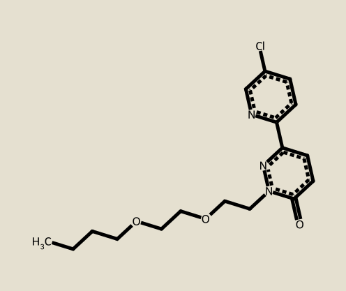 CCCCOCCOCCn1nc(-c2ccc(Cl)cn2)ccc1=O